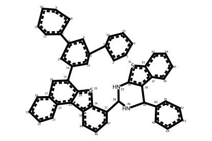 c1ccc(-c2cc(-c3ccccc3)cc(-c3cc4ccccc4c4c3sc3c(C5Nc6sc7ccccc7c6C(c6ccccc6)N5)cccc34)c2)cc1